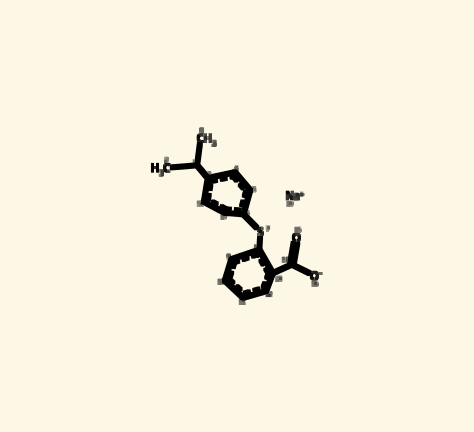 CC(C)c1ccc(Sc2ccccc2C(=O)[O-])cc1.[Na+]